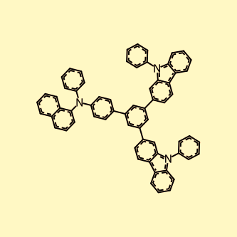 c1ccc(N(c2ccc(-c3cc(-c4ccc5c6ccccc6n(-c6ccccc6)c5c4)cc(-c4ccc5c6ccccc6n(-c6ccccc6)c5c4)c3)cc2)c2cccc3ccccc23)cc1